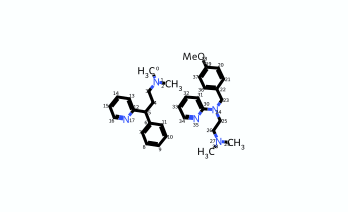 CN(C)CCC(c1ccccc1)c1ccccn1.COc1ccc(CN(CCN(C)C)c2ccccn2)cc1